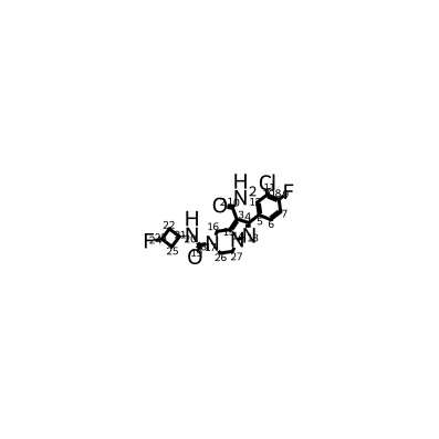 NC(=O)c1c(-c2ccc(F)c(Cl)c2)nn2c1CN(C(=O)N[C@H]1C[C@H](F)C1)CC2